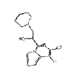 OC(CC1CCCCC1)c1cc(Cl)c(Cl)c2cncn12